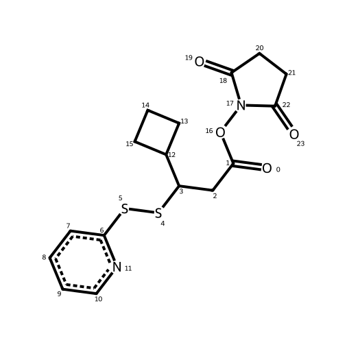 O=C(CC(SSc1ccccn1)C1CCC1)ON1C(=O)CCC1=O